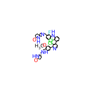 COc1cc(-c2nccc(-c3cccc(Nc4cccc(CN5CC6(CCC(=O)N6)C5)c4F)c3Cl)c2Cl)ccc1CNC[C@@H]1CCC(=O)N1